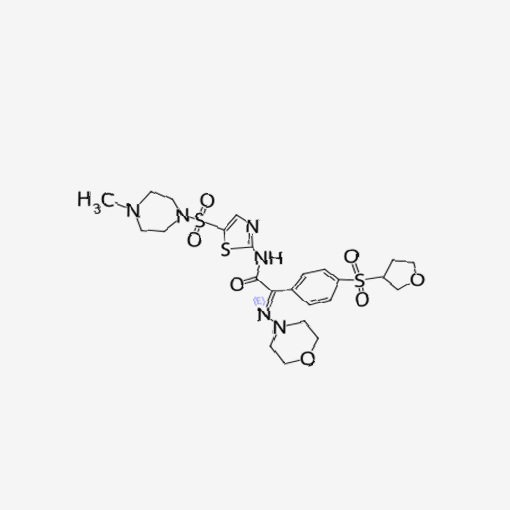 CN1CCN(S(=O)(=O)c2cnc(NC(=O)/C(=N/N3CCOCC3)c3ccc(S(=O)(=O)C4CCOC4)cc3)s2)CC1